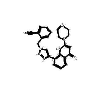 N#Cc1ccccc1Cn1cc(-c2cccc3c(=O)cc(N4CCOCC4)[nH]c23)nn1